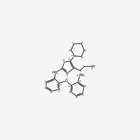 CC(C)CCc1nc(Nc2cccnc2Oc2ccccc2C(C)(C)C)sc1N1CCCCC1